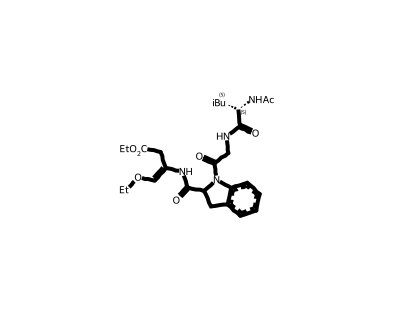 CCOC=C(CC(=O)OCC)NC(=O)C1Cc2ccccc2N1C(=O)CNC(=O)[C@@H](NC(C)=O)[C@@H](C)CC